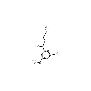 CCc1cc(OC(F)(F)F)cc([C@@H](O)CCCN)c1